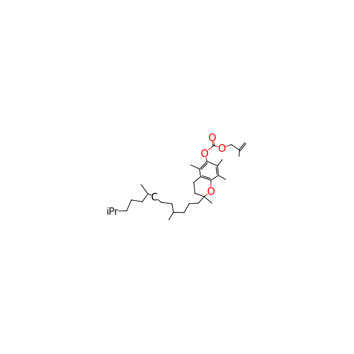 C=C(C)COC(=O)Oc1c(C)c(C)c2c(c1C)CCC(C)(CCCC(C)CCCC(C)CCCC(C)C)O2